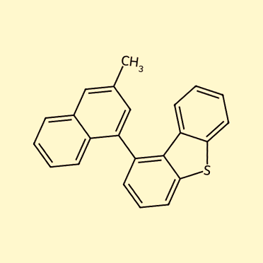 Cc1cc(-c2cccc3sc4ccccc4c23)c2ccccc2c1